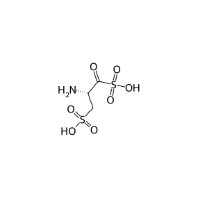 N[C@@H](CS(=O)(=O)O)C(=O)S(=O)(=O)O